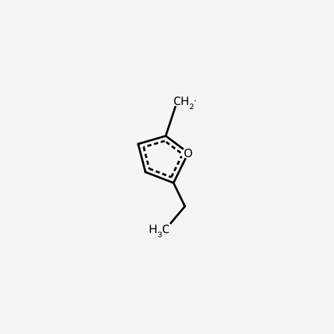 [CH2]c1ccc(CC)o1